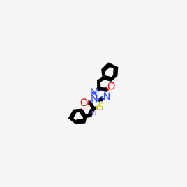 O=c1nc2s/c(=C/c3ccccc3)c(=O)n2nc1Cc1ccccc1